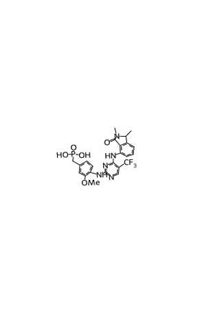 COc1cc(CP(=O)(O)O)ccc1Nc1ncc(C(F)(F)F)c(Nc2cccc3c2C(=O)N(C)C3C)n1